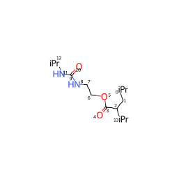 CC(C)CC(C(=O)OCCNC(=O)NC(C)C)C(C)C